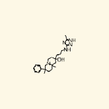 Cc1nc(NCCCC2(O)CCN3CC(C)(c4ccccc4)CCC3(C)C2)n[nH]1